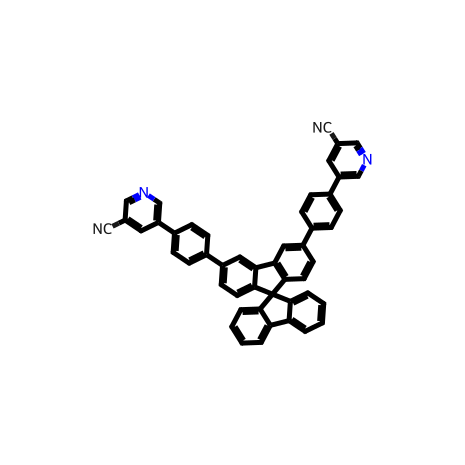 N#Cc1cncc(-c2ccc(-c3ccc4c(c3)-c3cc(-c5ccc(-c6cncc(C#N)c6)cc5)ccc3C43c4ccccc4-c4ccccc43)cc2)c1